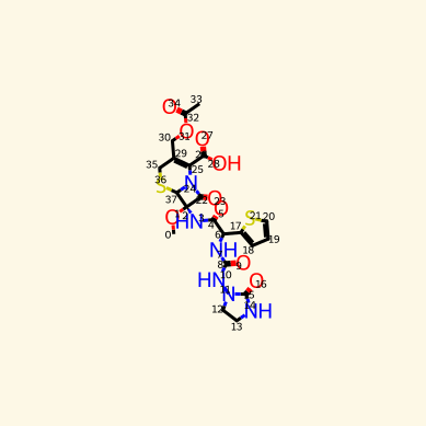 CO[C@@]1(NC(=O)C(NC(=O)NN2CCNC2=O)c2cccs2)C(=O)N2C(C(=O)O)=C(COC(C)=O)CSC21